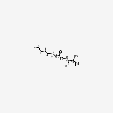 CCCCCCNC(=O)OCC(I)=C(I)I